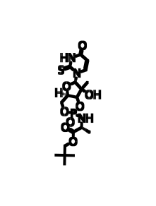 C[C@H](NP1(=O)OC[C@H]2O[C@@H](n3ccc(=O)[nH]c3=S)C(C)(O)C2O1)C(=O)OCC(C)(C)C